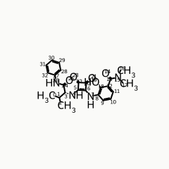 CC(C)[C@@H](Nc1c(Nc2cccc(C(=O)N(C)C)c2O)c(=O)c1=O)C(=O)Nc1ccccc1